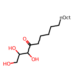 CCCCCCCCCCCCCC(=O)C(O)C(O)CO